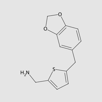 NCc1ccc(Cc2ccc3c(c2)OCO3)s1